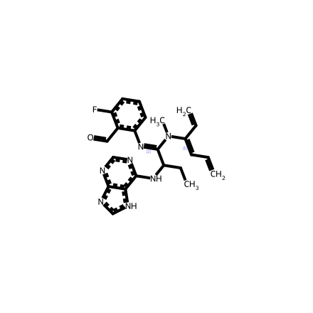 C=C/C=C(\C=C)N(C)/C(=N\c1cccc(F)c1C=O)C(CC)Nc1ncnc2nc[nH]c12